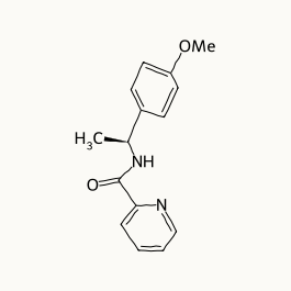 COc1ccc([C@H](C)NC(=O)c2ccccn2)cc1